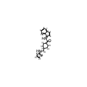 O=C(Nn1ccc2cccnc21)C1CCC(CNc2nccs2)CC1